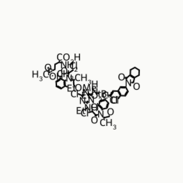 CC1COc2ccccc2N1C(=O)C(Cl)Cl.CCNc1nc(Cl)nc(NC(C)(C)C)n1.CCOC(=O)/C(Cl)=C/c1cc(N2C(=O)C3=C(CCCC3)C2=O)ccc1Cl.CCc1cccc(C)c1N(C(=O)CCl)C(C)COC.CP(=O)(O)CCC(N)C(=O)O